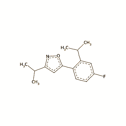 CC(C)c1cc(-c2ccc(F)cc2C(C)C)on1